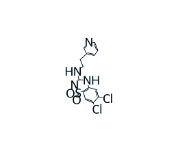 O=S1(=O)N=C(NCCc2cccnc2)Nc2cc(Cl)c(Cl)cc21